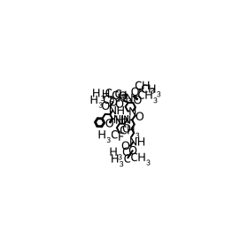 COC(=O)C1(NC(=O)OC(C)(C)C)CCN(C(=O)C(CCCCNC(=O)OC(C)(C)C)NC(=O)C(CC(C)(C)F)NC(=O)C(Cc2ccccc2)NC(=O)OC(C)(C)C)CC1